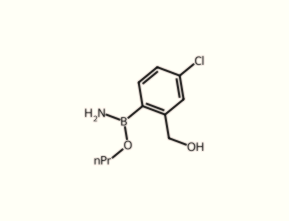 CCCOB(N)c1ccc(Cl)cc1CO